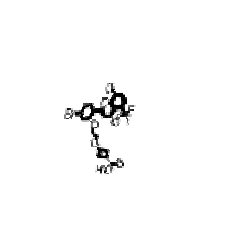 O=c1cc(-c2ccc(Br)cc2OCCO[C@H]2C[C@@H](C(=O)O)C2)oc2c(Cl)ccc(C(F)(F)F)c12